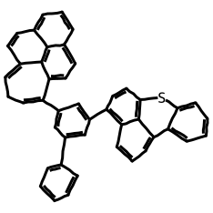 C1=C(c2cc(-c3ccccc3)cc(-c3ccc4c5c(cccc35)-c3ccccc3S4)c2)c2ccc3cccc4ccc(c2c34)=CC1